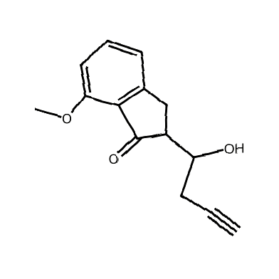 C#CCC(O)C1Cc2cccc(OC)c2C1=O